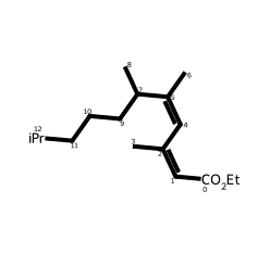 CCOC(=O)C=C(C)C=C(C)C(C)CCCC(C)C